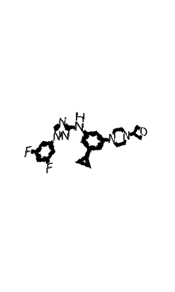 Fc1cc(F)cc(-n2cnc(Nc3cc(C4CC4)cc(N4CCN(C5COC5)CC4)c3)n2)c1